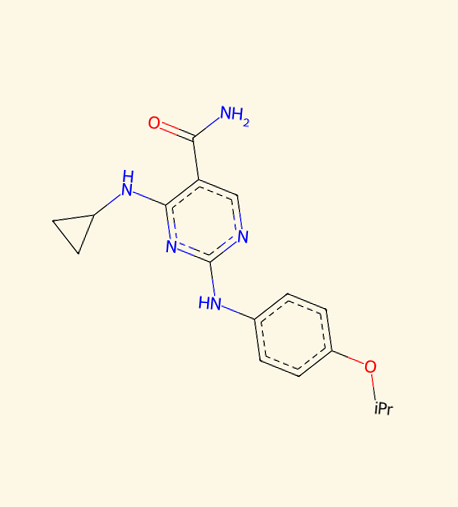 CC(C)Oc1ccc(Nc2ncc(C(N)=O)c(NC3CC3)n2)cc1